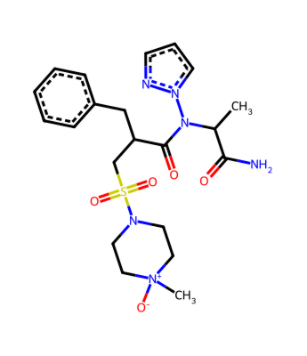 CC(C(N)=O)N(C(=O)C(Cc1ccccc1)CS(=O)(=O)N1CC[N+](C)([O-])CC1)n1cccn1